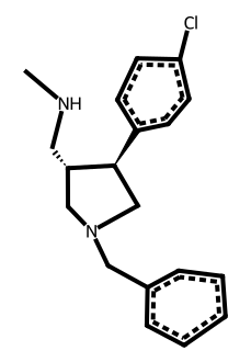 CNC[C@H]1CN(Cc2ccccc2)C[C@@H]1c1ccc(Cl)cc1